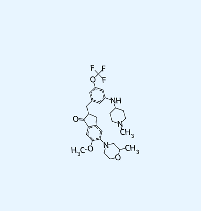 COc1cc2c(cc1N1CCOC(C)C1)CC(Cc1cc(NC3CCN(C)CC3)cc(OC(F)(F)F)c1)C2=O